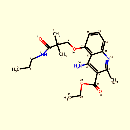 CCCNC(=O)C(C)(C)COc1cccc2nc(C)c(C(=O)OCC)c(N)c12